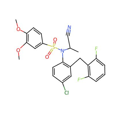 COc1ccc(S(=O)(=O)N(c2ccc(Cl)cc2Cc2c(F)cccc2F)C(C)C#N)cc1OC